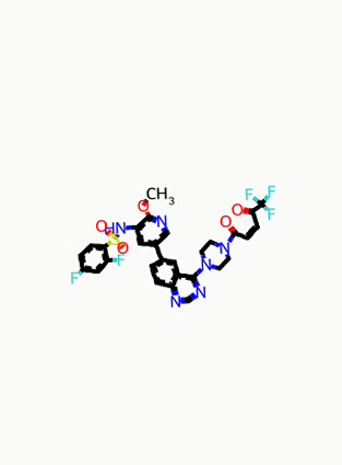 COc1ncc(-c2ccc3ncnc(N4CCN(C(=O)/C=C\C(=O)C(F)(F)F)CC4)c3c2)cc1NS(=O)(=O)c1ccc(F)cc1F